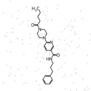 CCCCC(=O)N1CCN(c2ccc(C(=O)NCCCc3ccccc3)cn2)CC1